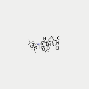 CC(C)OP(=O)(/C=C/[C@]12C[C@@H]1[C@@H](n1cnc3c(Cl)nc(Cl)nc31)[C@@H]1OC(C)(C)O[C@@H]12)OC(C)C